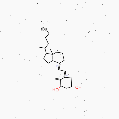 C=C1/C(=C\C=C2/CCCC3(C)C2CCC3C(C)CCCC(C)(C)C)CC(O)CC1O